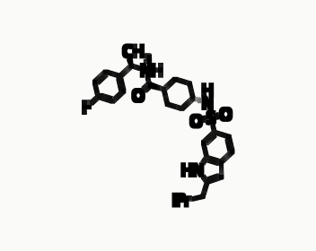 CC(C)Cc1cc2ccc(S(=O)(=O)N[C@H]3CC[C@H](C(=O)N[C@H](C)c4ccc(F)cc4)CC3)cc2[nH]1